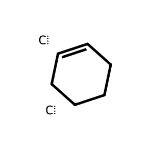 C1=CCCCC1.[C].[C]